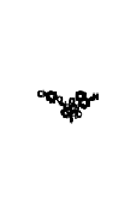 CC[C@@]12CC[C@@](CCOc3ccc(Cl)cn3)(O1)[C@H]1C(=O)N(c3ccc(C#N)c4ccccc34)C(=O)[C@H]12